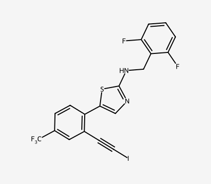 Fc1cccc(F)c1CNc1ncc(-c2ccc(C(F)(F)F)cc2C#CI)s1